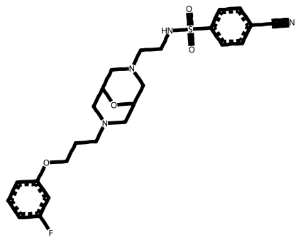 N#Cc1ccc(S(=O)(=O)NCCN2CC3CN(CCCOc4cccc(F)c4)CC(C2)O3)cc1